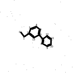 C[CH]c1cccc(-c2ccccc2)c1